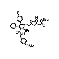 COc1ccc(CNC(=O)c2c(-c3ccccc3)c(-c3ccc(F)cc3)c(CCC(O)CC(O)CC(=O)OC(C)(C)C)n2C(C)C)cc1